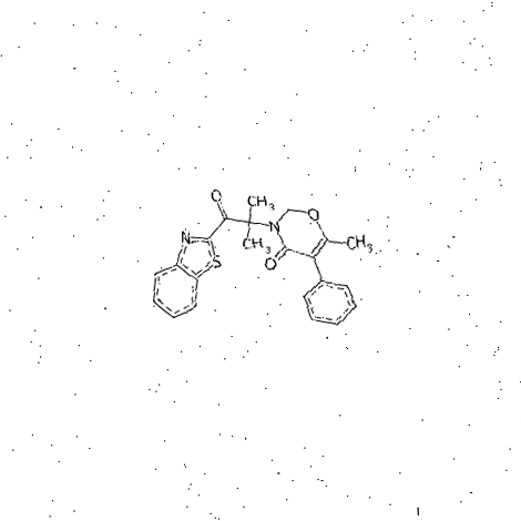 CC1=C(c2ccccc2)C(=O)N(C(C)(C)C(=O)c2nc3ccccc3s2)CO1